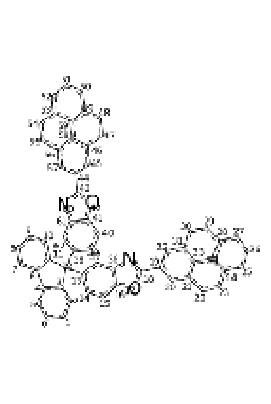 c1ccc2c(c1)-c1ccccc1C2(c1ccc2oc(-c3cc4ccc5cccc6ccc(c3)c4c56)nc2c1)c1ccc2oc(-c3cc4ccc5cccc6ccc(c3)c4c56)nc2c1